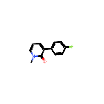 Cn1cccc(-c2c[c]c(F)cc2)c1=O